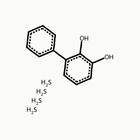 Oc1cccc(-c2ccccc2)c1O.S.S.S.S